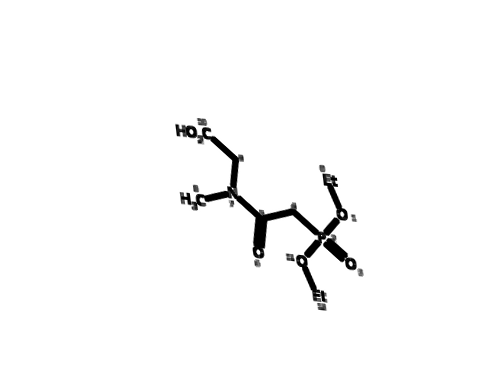 CCOP(=O)(CC(=O)N(C)CC(=O)O)OCC